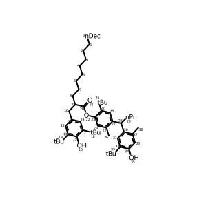 CCCCCCCCCCCCCCCCCCC(Cc1cc(C(C)(C)C)c(O)c(C(C)(C)C)c1)C(=O)Oc1cc(C)c(C(CCC)c2cc(C(C)(C)C)c(O)cc2C)cc1C(C)(C)C